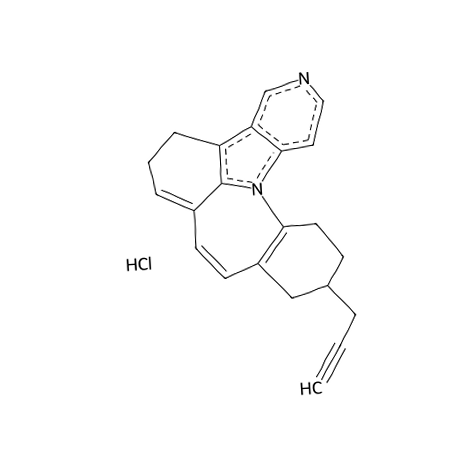 C#CCC1CCC2=C(C=CC3=CCCc4c3n2c2ccncc42)C1.Cl